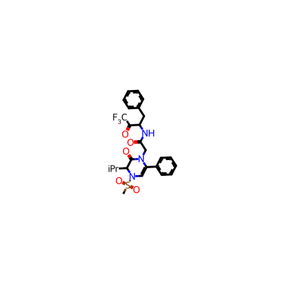 CC(C)C1C(=O)N(CC(=O)NC(Cc2ccccc2)C(=O)C(F)(F)F)C(c2ccccc2)=CN1S(C)(=O)=O